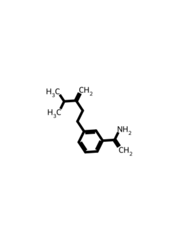 C=C(N)c1cccc(CCC(=C)C(C)C)c1